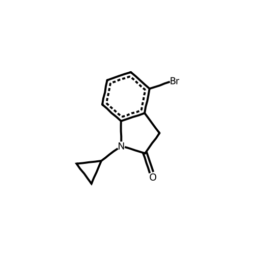 O=C1Cc2c(Br)cccc2N1C1CC1